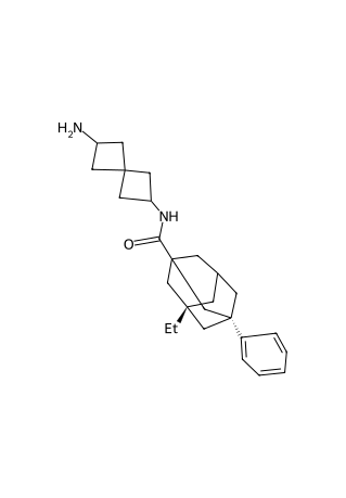 CC[C@]12CC3CC(C(=O)NC4CC5(CC(N)C5)C4)(C1)C[C@@](c1ccccc1)(C3)C2